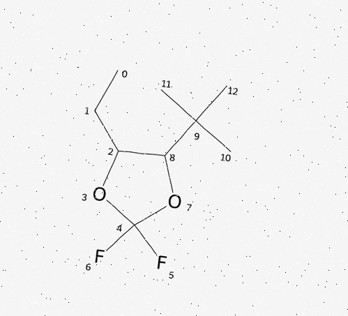 CCC1OC(F)(F)OC1C(C)(C)C